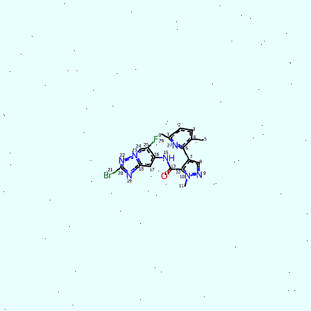 Cc1ccc(C)c(-c2cnn(C)c2C(=O)Nc2cc3nc(Br)nn3cc2F)n1